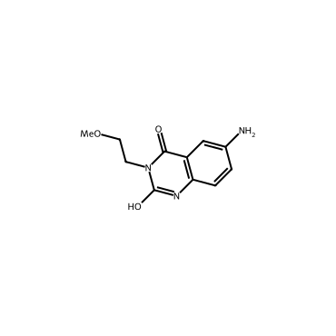 COCCn1c(O)nc2ccc(N)cc2c1=O